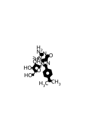 [2H]n1c(N)nc(=O)c2nc(-c3ccc(C(C)C)cc3)n([C@@H]3O[C@H](CO)[C@@H](O)[C@H]3O)c21